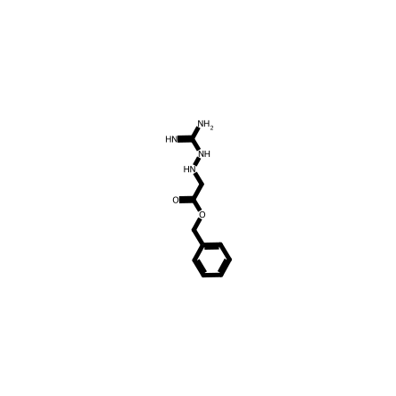 N=C(N)NNCC(=O)OCc1ccccc1